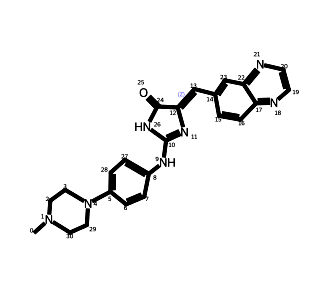 CN1CCN(c2ccc(NC3=N/C(=C\c4ccc5nccnc5c4)C(=O)N3)cc2)CC1